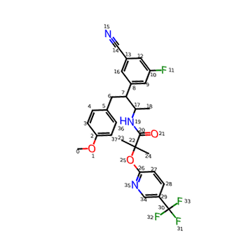 COc1ccc(CC(c2cc(F)cc(C#N)c2)C(C)NC(=O)C(C)(C)Oc2ccc(C(F)(F)F)cn2)cc1